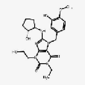 CCn1c(=O)c2c(nc(N[C@@H]3CCC[C@H]3O)n2Cc2ccc(OC)c(Br)c2)n(CCO)c1=O